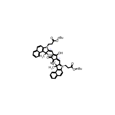 CCCCOC(=O)CCN1/C(=C/C2=C(O)C(=C/C3=[N+](CCC(=O)OCCCC)c4ccc5ccccc5c4C3(C)C)/C(=O)C2=O)C(C)(C)c2c1ccc1ccccc21